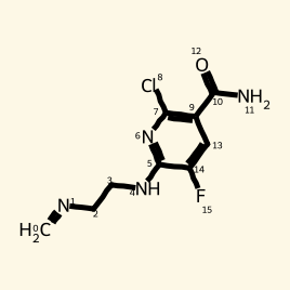 C=NCCNc1nc(Cl)c(C(N)=O)cc1F